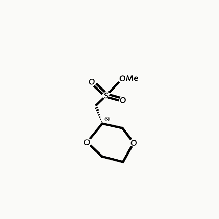 COS(=O)(=O)C[C@@H]1COCCO1